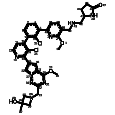 COc1nc(-c2cccc(-c3ccnc(-c4cc5c(OC)nc(CN6CC(C)(O)C6)nn5c4)c3Cl)c2Cl)ccc1CNCC1CCC(=O)N1